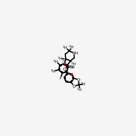 [2H]c1c([2H])c([C@]2([2H])CC([2H])([2H])NCC2([2H])C([2H])([2H])Oc2ccc3c(c2)OC([2H])([2H])O3)c([2H])c([2H])c1F